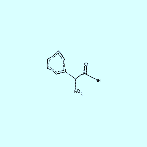 [NH]C(=O)C(c1ccccc1)[N+](=O)[O-]